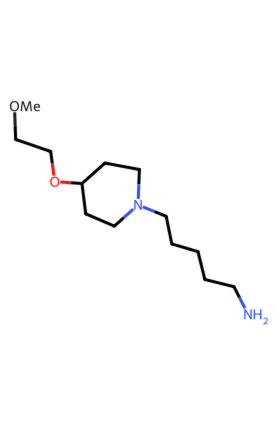 COCCOC1CCN(CCCCCN)CC1